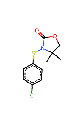 CC1(C)COC(=O)N1Sc1ccc(Cl)cc1